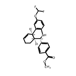 COC(=O)c1ccc([C@H]2Nc3ccc(OC(F)F)cc3[C@@H]3C=CCC[C@H]23)cc1